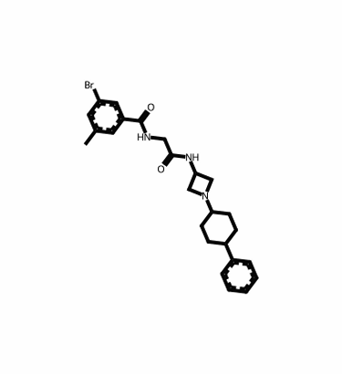 Cc1cc(Br)cc(C(=O)NCC(=O)NC2CN(C3CCC(c4ccccc4)CC3)C2)c1